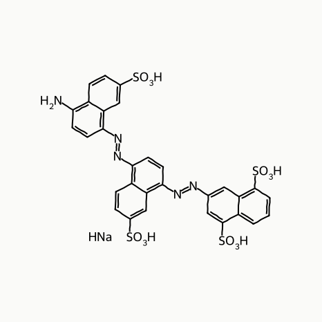 Nc1ccc(N=Nc2ccc(N=Nc3cc(S(=O)(=O)O)c4cccc(S(=O)(=O)O)c4c3)c3cc(S(=O)(=O)O)ccc23)c2cc(S(=O)(=O)O)ccc12.[NaH]